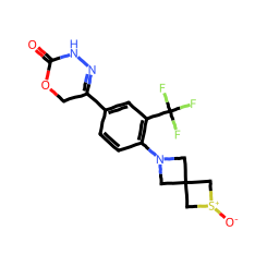 O=C1NN=C(c2ccc(N3CC4(C3)C[S+]([O-])C4)c(C(F)(F)F)c2)CO1